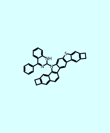 c1ccc(C2=NC(n3c4cc5sc6cc7c(cc6c5cc4c4ccc5cc6c(cc5c43)CC6)CC7)Nc3ccccc32)cc1